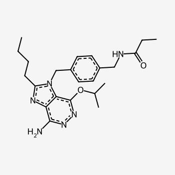 CCCCc1nc2c(N)nnc(OC(C)C)c2n1Cc1ccc(CNC(=O)CC)cc1